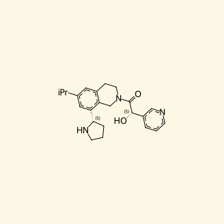 CC(C)c1cc2c(c([C@@H]3CCCN3)c1)CN(C(=O)[C@@H](O)c1cccnc1)CC2